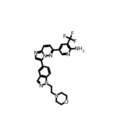 Nc1ncc(-c2ccc3ncc(-c4ccc5c(cnn5CCN5CCOCC5)c4)n3n2)cc1C(F)(F)F